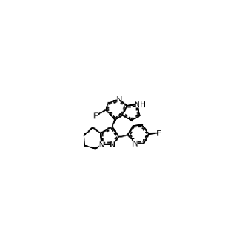 Fc1ccc(-c2nn3c(c2-c2c(F)cnc4[nH]ccc24)CCCC3)nc1